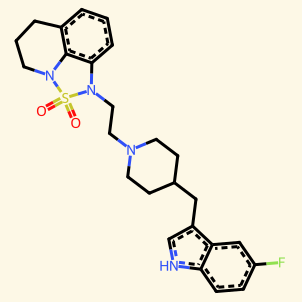 O=S1(=O)N(CCN2CCC(Cc3c[nH]c4ccc(F)cc34)CC2)c2cccc3c2N1CCC3